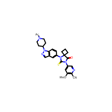 COc1cc(N2C(=O)C3(CCC3)N(c3ccc4c(cnn4C4CCN(C(C)=O)CC4)c3)C2=S)cnc1C#N